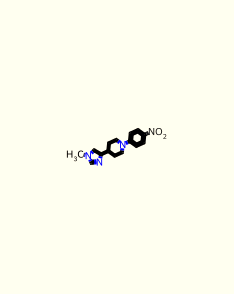 CN1C=NC(C2CCN(c3ccc([N+](=O)[O-])cc3)CC2)C1